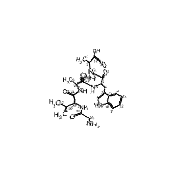 CC(NC(=O)C(Cc1c[nH]c2ccccc12)NC(=O)C(C)NC(=O)C(NC(=O)CN)C(C)C)C(=O)O